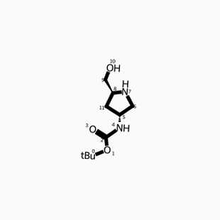 CC(C)(C)OC(=O)N[C@H]1CN[C@H](CO)C1